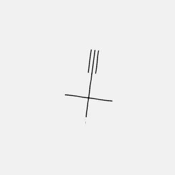 C#CC(C)(C)I